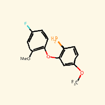 COc1cc(F)ccc1Oc1cc(OC(F)(F)F)ccc1P